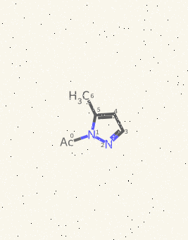 CC(=O)n1nccc1C